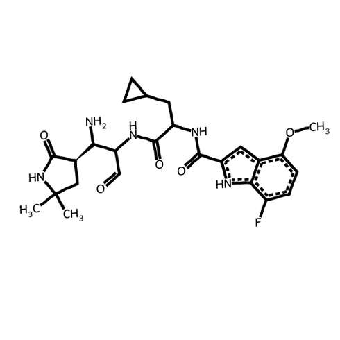 COc1ccc(F)c2[nH]c(C(=O)NC(CC3CC3)C(=O)NC(C=O)C(N)[C@H]3CC(C)(C)NC3=O)cc12